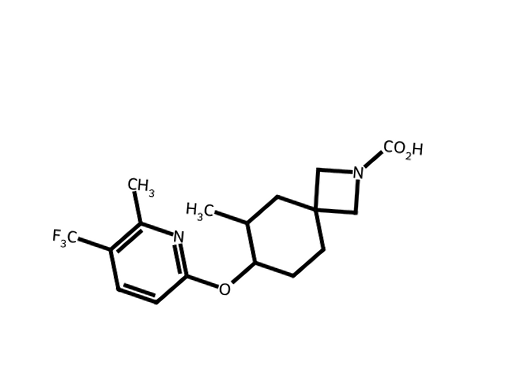 Cc1nc(OC2CCC3(CC2C)CN(C(=O)O)C3)ccc1C(F)(F)F